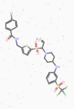 C=CC(N1CCC(Nc2cccc(S(=O)(=O)C(F)(F)F)c2)CC1)S(=O)(=O)c1ccc(CNC(=O)c2ccc(Cl)cc2)s1